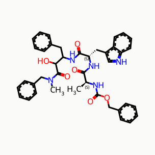 C[C@H](NC(=O)OCc1ccccc1)C(=O)N[C@@H](Cc1c[nH]c2ccccc12)C(=O)NC(Cc1ccccc1)C(O)C(=O)N(C)Cc1ccccc1